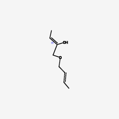 CC=CCOC/C(O)=C/C